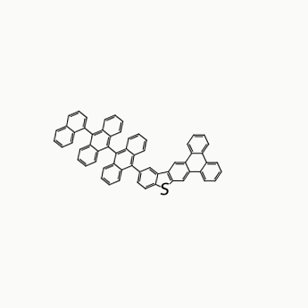 c1ccc2c(-c3c4ccccc4c(-c4c5ccccc5c(-c5ccc6sc7cc8c9ccccc9c9ccccc9c8cc7c6c5)c5ccccc45)c4ccccc34)cccc2c1